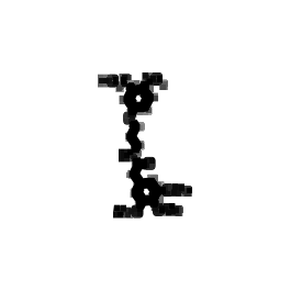 COc1cc(CC(=O)NCCCOc2ccc([N+](=O)[O-])c(C(=O)O)c2)cc(OC)c1OC